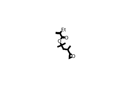 C=C(CC)C(=O)OC(C)(C)CC(C)C1CO1